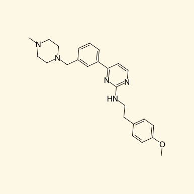 COc1ccc(CCNc2nccc(-c3cccc(CN4CCN(C)CC4)c3)n2)cc1